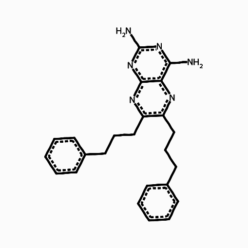 Nc1nc(N)c2nc(CCCc3ccccc3)c(CCCc3ccccc3)nc2n1